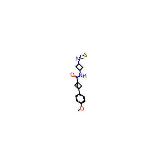 COc1ccc(C23CC(C(=O)NC4CC(N=C=S)C4)(C2)C3)cc1